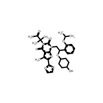 Cc1c(-c2ncco2)sc2c1c(=O)n(C(C)(C)C(N)=O)c(=O)n2CC(OC1CCC(O)CC1)c1ccccc1OC(C)C